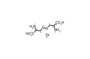 NC(CSSCC(N)C(=O)O)C(=O)O.[Fe]